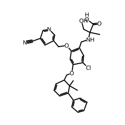 CC(CO)(NCc1cc(Cl)c(OCC2C=CC=C(c3ccccc3)C2(C)C)cc1OCc1cncc(C#N)c1)C(=O)O